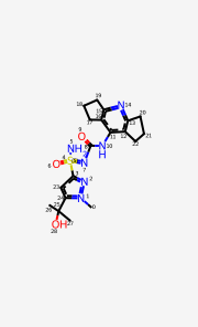 Cn1nc([S@@](N)(=O)=NC(=O)Nc2c3c(nc4c2CCC4)CCC3)cc1C(C)(C)O